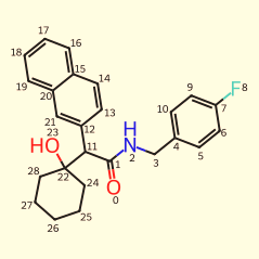 O=C(NCc1ccc(F)cc1)C(c1ccc2ccccc2c1)C1(O)CCCCC1